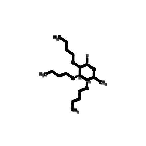 CCCCOC1C(F)OC(C)[C@H](OCCCC)[C@@H]1OCCCC